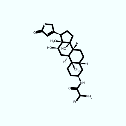 CC(C)C(N)C(=O)N[C@H]1CC[C@@]2(C)[C@H](CC[C@@H]3[C@@H]2C[C@@H](O)[C@]2(C)[C@@H](C4=CC(=O)OC4)CC[C@]32O)C1